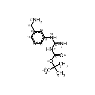 CC(C)(C)OC(=O)NC(=N)Nc1cccc(CN)c1